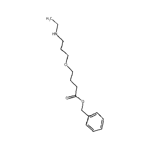 CCNCCCOCCCC(=O)OCc1ccccc1